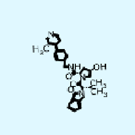 Cc1cnccc1-c1ccc(CNC(=O)[C@@H]2C[C@@H](O)CN2C(=O)[C@H](C(C)C)N2Cc3ccccc3C2=O)cc1